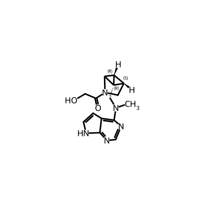 CN(C[C@]12C3[C@@H]1[C@@H]2CN3C(=O)CO)c1ncnc2[nH]ccc12